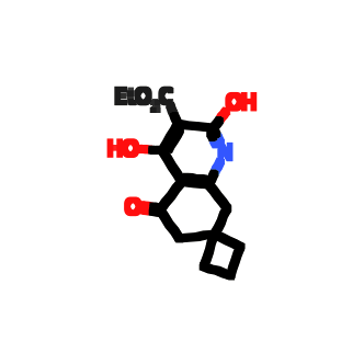 CCOC(=O)c1c(O)nc2c(c1O)C(=O)CC1(CCC1)C2